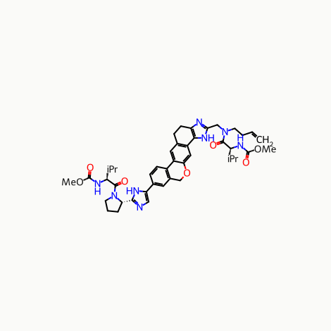 C=CCCN(Cc1nc2c([nH]1)-c1cc3c(cc1CC2)-c1ccc(-c2cnc([C@@H]4CCCN4C(=O)[C@@H](NC(=O)OC)C(C)C)[nH]2)cc1CO3)C(=O)[C@@H](NC(=O)OC)C(C)C